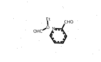 CCOC=O.O=Cc1ccccn1